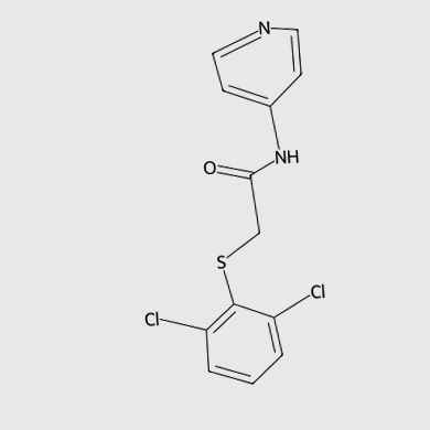 O=C(CSc1c(Cl)cccc1Cl)Nc1ccncc1